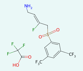 NC/C=C(\F)CS(=O)(=O)c1cc(C(F)(F)F)cc(C(F)(F)F)c1.O=C(O)C(F)(F)F